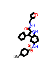 CC(C)(C)c1ccc(S(=O)(=O)Nc2ccc3[nH]c(C(=O)NCc4ccoc4)c(-c4ccccc4)c3c2)cc1